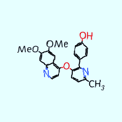 COc1cc2nccc(Oc3ccc(C)nc3-c3ccc(O)cc3)c2cc1OC